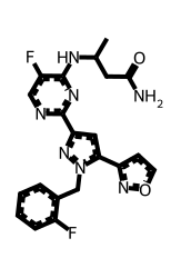 CC(CC(N)=O)Nc1nc(-c2cc(-c3ccon3)n(Cc3ccccc3F)n2)ncc1F